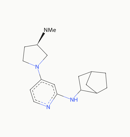 CN[C@@H]1CCN(c2ccnc(NC3CC4CCC3C4)c2)C1